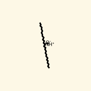 CCCCCCCCCCCCCCC(CCCCCCCCCCCCC)=[NH+][O-]